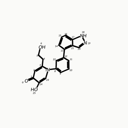 O=c1cc(CCO)n(-c2cccc(-c3cccc4[nH]ncc34)c2)cc1O